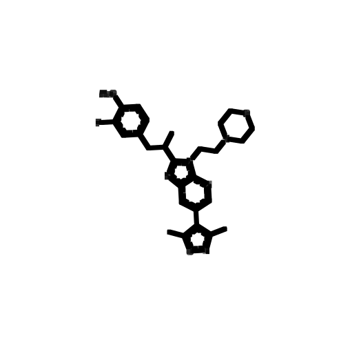 COc1ccc(CC(C)c2nc3cc(-c4c(C)noc4C)cnc3n2CCN2CCOCC2)cc1F